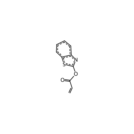 C=CC(=O)Oc1nc2ccccc2s1